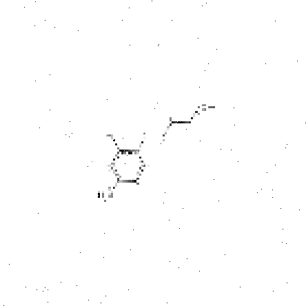 CCCCCCCCCCCCc1ccc(N)c(C)c1C